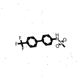 CS(=O)(=O)Nc1ccc(-c2ccc(C(F)(F)F)cc2)cc1